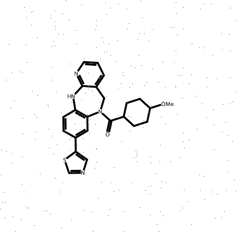 COC1CCC(C(=O)N2Cc3cccnc3Nc3ccc(-c4cncs4)cc32)CC1